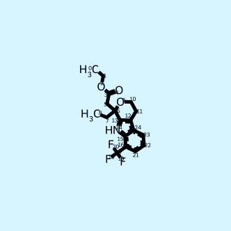 CCOC(=O)CC1(CC)OCCc2c1[nH]c1c(C(F)(F)F)cccc21